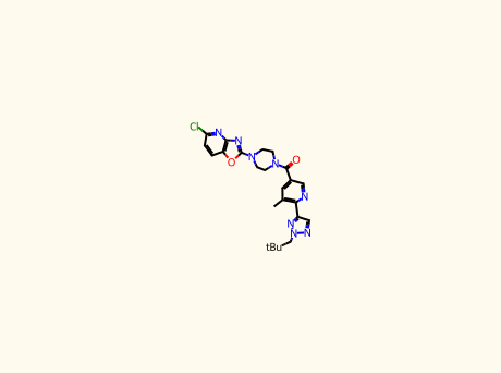 Cc1cc(C(=O)N2CCN(c3nc4nc(Cl)ccc4o3)CC2)cnc1-c1cnn(CC(C)(C)C)n1